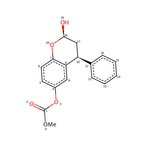 COC(=O)Oc1ccc2c(c1)[C@H](c1ccccc1)C[C@H](O)O2